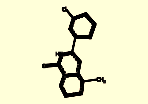 Cc1cccc2c(=O)[nH]c(-c3cccc(Cl)c3)cc12